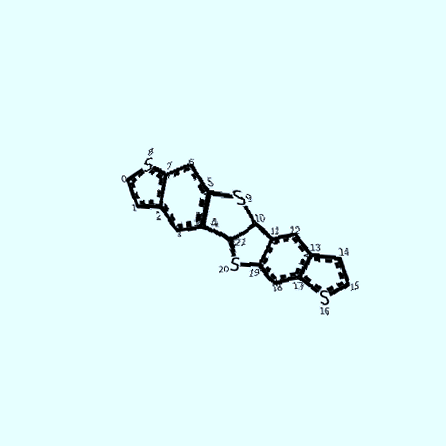 c1cc2cc3c(cc2s1)SC1c2cc4ccsc4cc2SC31